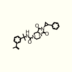 C=C(C)c1cccc(C(C)(C)NC(=O)N2CCN3C(=O)N(C4CC4c4ccccc4)C(=O)C3C2)c1